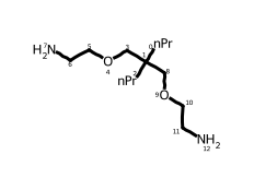 CCCC(CCC)(COCCN)COCCN